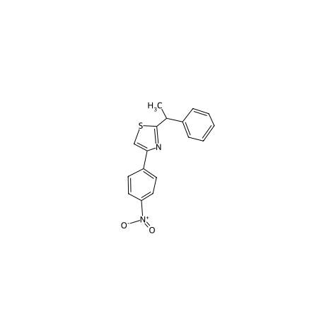 CC(c1ccccc1)c1nc(-c2ccc([N+](=O)[O-])cc2)cs1